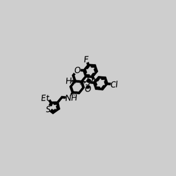 CCc1sccc1CN[C@@H]1CC[C@@]2(S(=O)(=O)c3ccc(Cl)cc3)c3c(F)ccc(F)c3OC[C@H]2C1